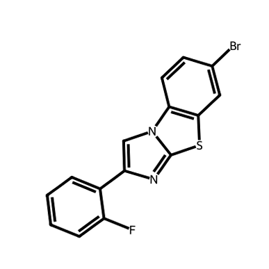 Fc1ccccc1-c1cn2c(n1)sc1cc(Br)ccc12